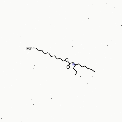 CCCCCC/C(=C/C(=O)OCCCCCCCCCCBr)CCC